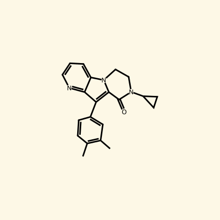 Cc1ccc(-c2c3n(c4cccnc24)CCN(C2CC2)C3=O)cc1C